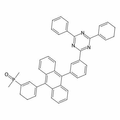 CP(C)(=O)C1=CC(c2c3ccccc3c(-c3cccc(-c4nc(C5=CCCC=C5)nc(-c5ccccc5)n4)c3)c3ccccc23)=CCC1